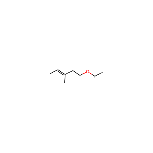 C[CH]OCC/C(C)=C/C